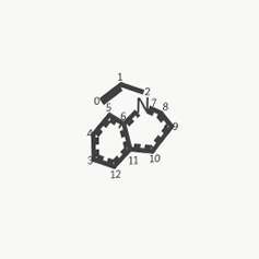 C=CC.c1ccc2ncccc2c1